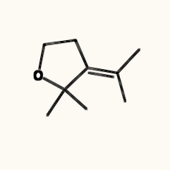 CC(C)=C1CCOC1(C)C